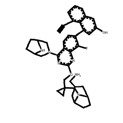 C#Cc1cccc2cc(O)cc(-c3ccc4c(N5CC6CCC(C5)N6)nc(OCC5(CN6C7CCC6CC(CN)C7)CC5)nc4c3F)c12